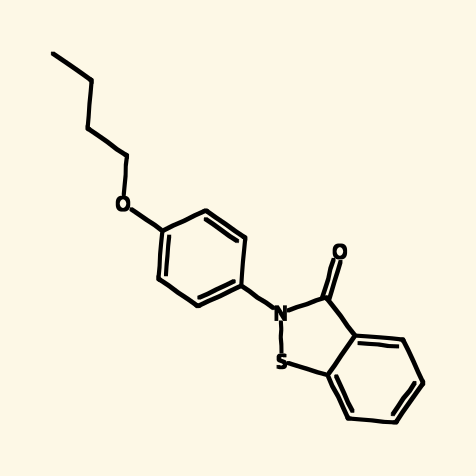 CCCCOc1ccc(-n2sc3ccccc3c2=O)cc1